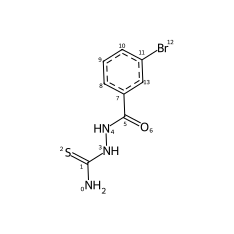 NC(=S)NNC(=O)c1cccc(Br)c1